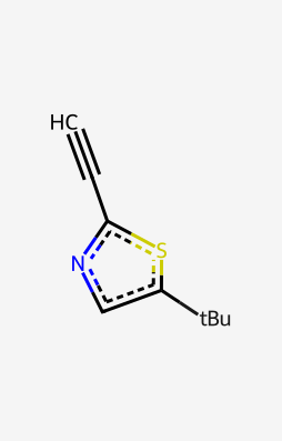 C#Cc1ncc(C(C)(C)C)s1